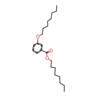 CCCCCCCCOC(=O)c1cccc(OCCCCCCCC)c1